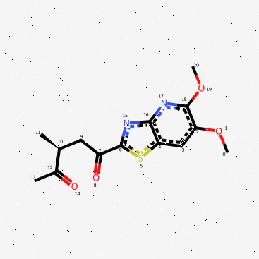 COc1cc2sc(C(=O)C[C@H](C)C(C)=O)nc2nc1OC